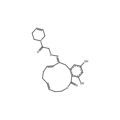 O=C1OCC/C=C/CC/C=C/C(=N\OCC(=O)N2CC=CCC2)Cc2cc(O)cc(O)c21